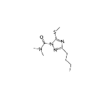 CCCCc1nc(SC)n(C(=O)N(C)C)n1